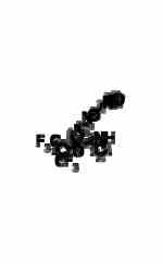 C/C(CN1CCN(C(=O)c2cc(C(F)(F)F)cc(C(F)(F)F)c2)[C@H](Cc2c[nH]c3ccccc23)C1)=N\OCCCN1CCOCC1